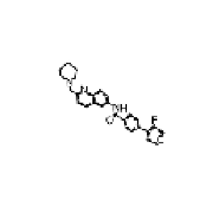 O=C(Nc1ccc2nc(CN3CCCCC3)ccc2c1)c1ccc(-c2ccccc2F)cc1